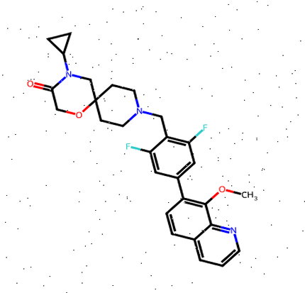 COc1c(-c2cc(F)c(CN3CCC4(CC3)CN(C3CC3)C(=O)CO4)c(F)c2)ccc2cccnc12